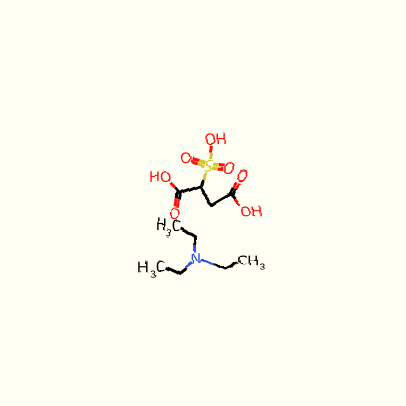 CCN(CC)CC.O=C(O)CC(C(=O)O)S(=O)(=O)O